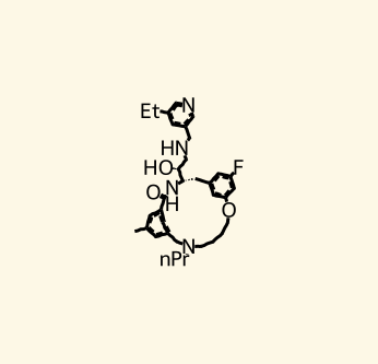 CCCN1CCCCOc2cc(F)cc(c2)C[C@@H]([C@H](O)CNCc2cncc(CC)c2)NC(=O)c2cc(C)cc(c2)C1